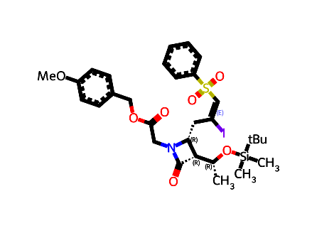 COc1ccc(COC(=O)CN2C(=O)[C@@H]([C@@H](C)O[Si](C)(C)C(C)(C)C)[C@H]2C/C(I)=C\S(=O)(=O)c2ccccc2)cc1